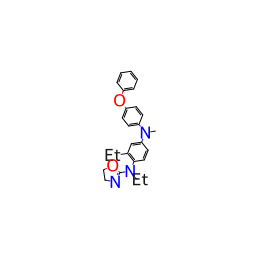 CCc1cc(N(C)c2ccc(Oc3ccccc3)cc2)ccc1N(CC)C1=NCCO1